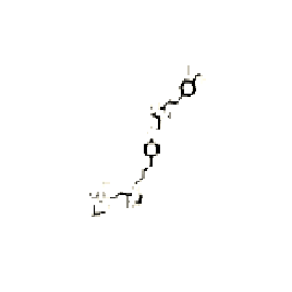 O=S(=O)(CC(F)(F)F)NCCc1nccn1CCCCc1ccc(OCc2coc(C=Cc3ccc(C(F)(F)F)cc3)n2)cc1